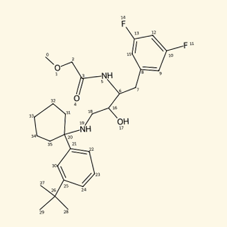 COCC(=O)NC(Cc1cc(F)cc(F)c1)C(O)CNC1(c2cccc(C(C)(C)C)c2)CCCCC1